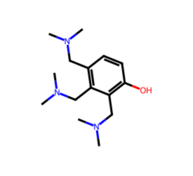 CN(C)Cc1ccc(O)c(CN(C)C)c1CN(C)C